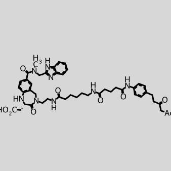 CC(=O)CC(=O)CCc1ccc(NC(=O)CCCC(=O)NCCCCCC(=O)NCCN2Cc3cc(C(=O)N(C)Cc4nc5ccccc5[nH]4)ccc3N[C@@H](CC(=O)O)C2=O)cc1